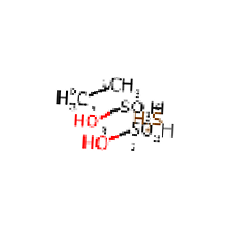 CC.O=S(=O)(O)O.O=S(=O)(O)O.S